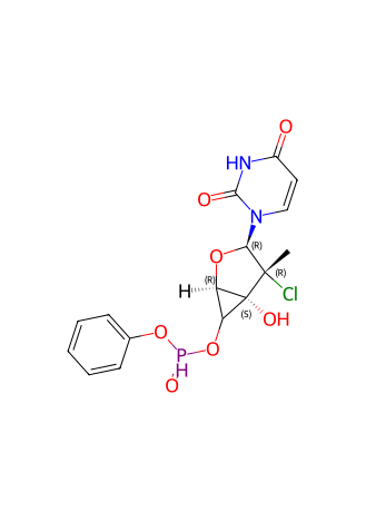 C[C@]1(Cl)[C@H](n2ccc(=O)[nH]c2=O)O[C@@H]2C(O[PH](=O)Oc3ccccc3)[C@@]21O